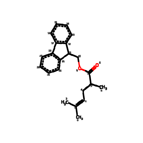 CC(C)=CCC(C)C(=O)OCC1c2ccccc2-c2ccccc21